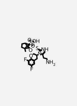 CC12CCC(C(S(=O)(=O)O)C1=O)C2(C)C.NCCc1c[nH]c(=S)n1C1COc2c(F)cc(F)cc2C1